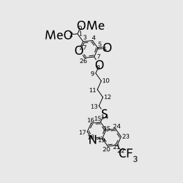 COC(OC)c1cc(=O)c(OCCCCCSc2ccnc3cc(C(F)(F)F)ccc23)co1